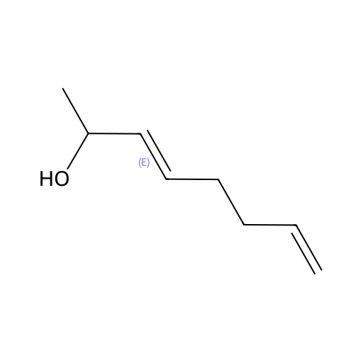 C=CCC/C=C/C(C)O